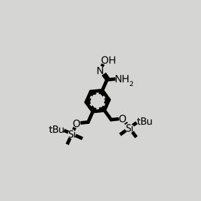 CC(C)(C)[Si](C)(C)OCc1ccc(/C(N)=N/O)cc1CO[Si](C)(C)C(C)(C)C